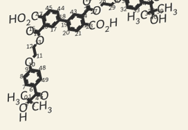 CC(C)(O)C(=O)c1ccc(OCCOC(=O)c2cc(-c3ccc(C(=O)O)c(C(=O)OCCOc4ccc(C(=O)C(C)(C)O)cc4)c3)ccc2C(=O)O)cc1